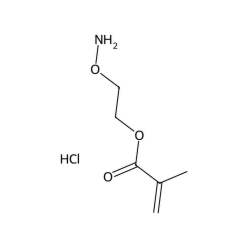 C=C(C)C(=O)OCCON.Cl